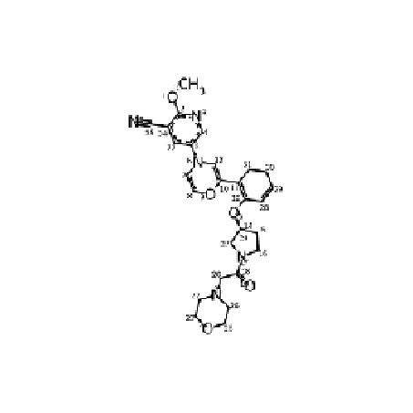 COc1ncc(N2C=COC(C3=C(O[C@H]4CCN(C(=O)CN5CCOCC5)C4)C=CCC3)=C2)cc1C#N